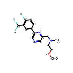 CN(CCOC=O)Cc1cncc(-c2ccc(F)c(C(F)F)c2)n1